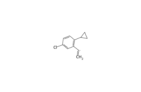 C=[C]c1cc(Cl)ccc1C1CC1